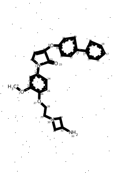 COc1cc(N2CC=C(Oc3ccc(-c4ccccc4)cc3)C2=O)ccc1OCCN1CC(N)C1